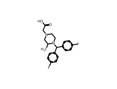 CC1CN(CC(=O)O)CCN1C(c1ccc(F)cc1)c1ccc(F)cc1